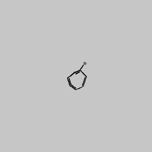 BrC1=CC=C=CC=C1